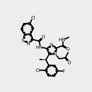 CNC(=O)c1nc(NC(=O)c2nsc3ccc(Cl)cc23)c([C@H](C)c2cc(F)ccc2Cl)n1CC(C)=O